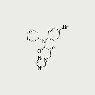 O=c1c(Cn2cncn2)cc2cc(Br)ccc2n1-c1ccccc1